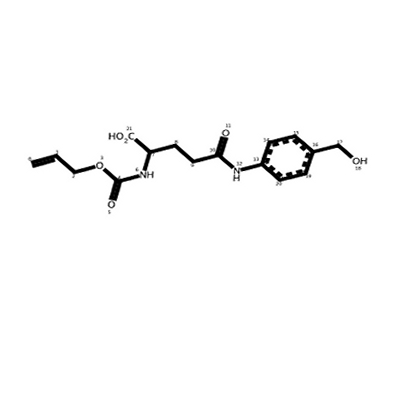 C=CCOC(=O)NC(CCC(=O)Nc1ccc(CO)cc1)C(=O)O